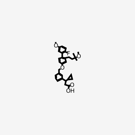 COc1ccc(F)c(-c2ccc(OCc3cccc(C(CC(=O)O)C4CC4)c3)cc2CCC(C)(C)OC)c1